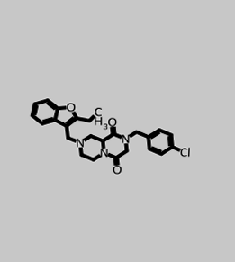 CCc1oc2ccccc2c1CN1CCN2C(=O)CN(Cc3ccc(Cl)cc3)C(=O)C2C1